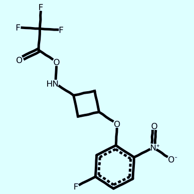 O=C(ONC1CC(Oc2cc(F)ccc2[N+](=O)[O-])C1)C(F)(F)F